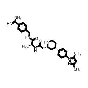 Cc1cc(C)n(-c2ccc([C@H]3CCN[C@@H](CC(=O)N[C@@H](C)C(=O)NCc4ccc(C(=N)N)cc4)C3)cc2)n1